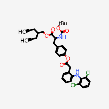 C#CCC(CC#C)COC(=O)C(Cc1ccc(OC(=O)Cc2ccccc2Nc2c(Cl)cccc2Cl)cc1)NC(=O)OC(C)(C)C